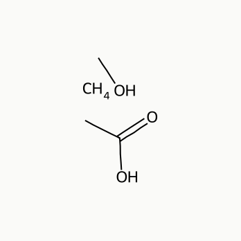 C.CC(=O)O.CO